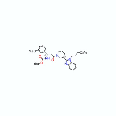 COCCCn1c([C@@H]2CCCN(C(=O)C[C@H](NC(=O)OC(C)(C)C)c3cccc(OC)c3)C2)nc2ccccc21